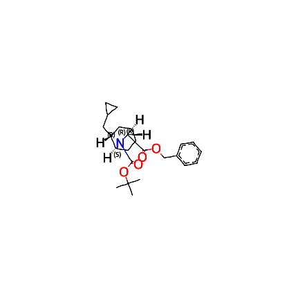 CC(C)(C)OC(=O)N1[C@H]2CC[C@H](C[C@H]2CC2CC2)[C@@H]1C(=O)OCc1ccccc1